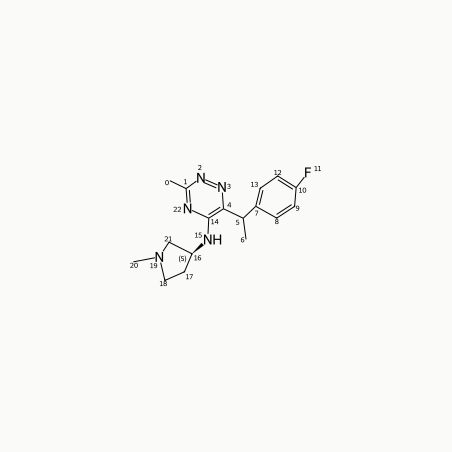 Cc1nnc(C(C)c2ccc(F)cc2)c(N[C@H]2CCN(C)C2)n1